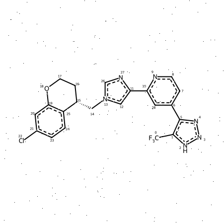 FC(F)(F)c1[nH]nnc1-c1ccnc(-c2cn(C[C@H]3CCOc4cc(Cl)ccc43)cn2)c1